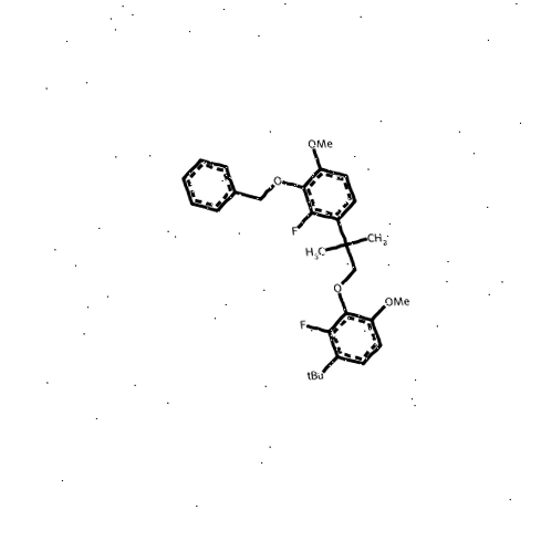 COc1ccc(C(C)(C)C)c(F)c1OCC(C)(C)c1ccc(OC)c(OCc2ccccc2)c1F